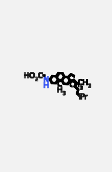 CC(C)CCC[C@@H](C)[C@H]1CCC2C3CC=C4CC(NCC(=O)O)CC[C@]4(C)C3CC[C@@]21C